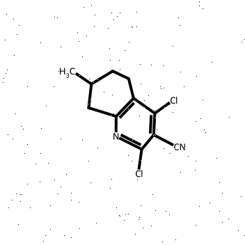 CC1CCc2c(nc(Cl)c(C#N)c2Cl)C1